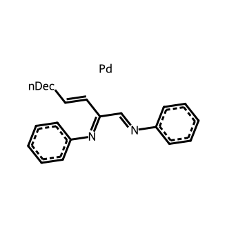 CCCCCCCCCCC=CC(C=Nc1ccccc1)=Nc1ccccc1.[Pd]